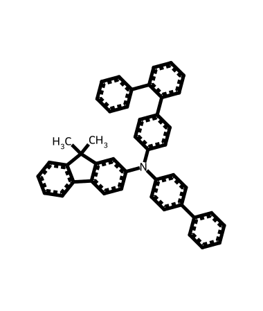 CC1(C)c2ccccc2-c2ccc(N(c3ccc(-c4ccccc4)cc3)c3ccc(-c4ccccc4-c4ccccc4)cc3)cc21